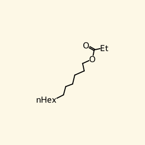 [CH2]CC(=O)OCCCCCCCCCCCC